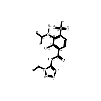 CCn1nnnc1NC(=O)c1ccc(S(C)(=O)=O)c([S+]([O-])C(C)C)c1Cl